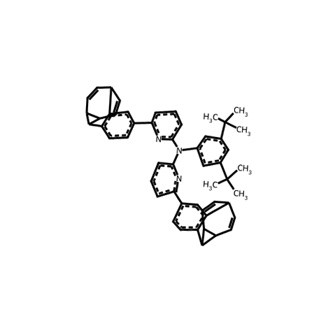 CC(C)(C)c1cc(N(c2cccc(-c3ccc4c(c3)C3C=CC5C(C=C3)C45)n2)c2cccc(-c3ccc4c(c3)C3C=CC5C(C=C3)C45)n2)cc(C(C)(C)C)c1